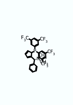 CN(C)[C@@H](C1=CC=CC1P(c1cc(C(F)(F)F)cc(C(F)(F)F)c1)c1cc(C(F)(F)F)cc(C(F)(F)F)c1)c1ccccc1